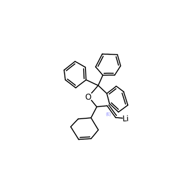 [Li]/[CH]=C/C(OC(c1ccccc1)(c1ccccc1)c1ccccc1)C1CC=CCC1